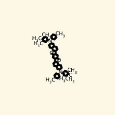 Cc1ccc(N(c2cc(C)c(C)c(C)c2)c2ccc3c(ccc4c5cc6oc7c8ccc(N(c9ccc(C)cc9)c9cc(C)c(C)c(C)c9)cc8ccc7c6cc5oc34)c2)cc1